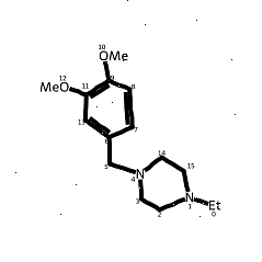 CCN1CCN(Cc2ccc(OC)c(OC)c2)CC1